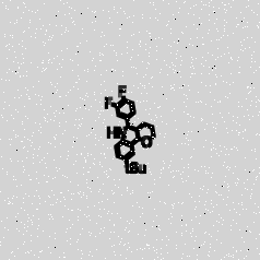 CC(C)(C)c1ccc2c(c1)C1OCCCC1C(c1ccc(F)c(F)c1)N2